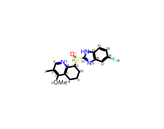 COc1c(C)cnc2c1CCCC2[S+]([O-])c1nc2cc(F)ccc2[nH]1